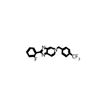 Fc1ccccc1-c1nc2ccn(Cc3ccc(C(F)(F)F)cc3)cc-2n1